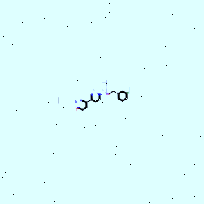 Cn1cc(-c2ccc(NC(=O)Cc3cccc(F)c3)nc2)ccc1=O